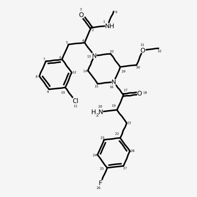 CNC(=O)C(Cc1cccc(Cl)c1)N1CCN(C(=O)C(N)Cc2ccc(F)cc2)C(COC)C1